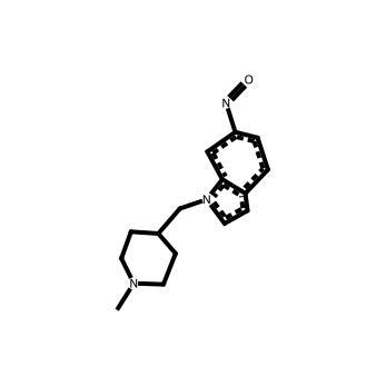 CN1CCC(Cn2ccc3ccc(N=O)cc32)CC1